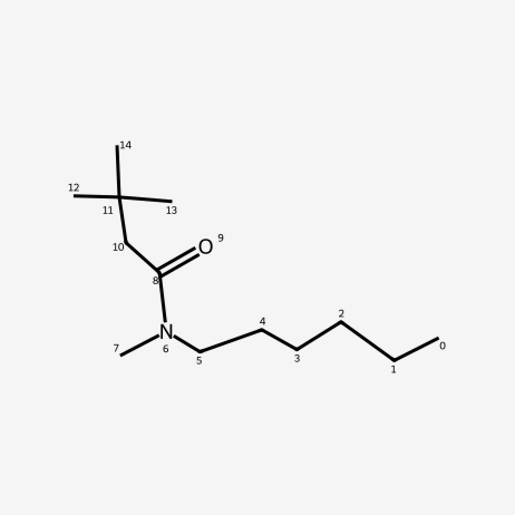 CCCCCCN(C)C(=O)CC(C)(C)C